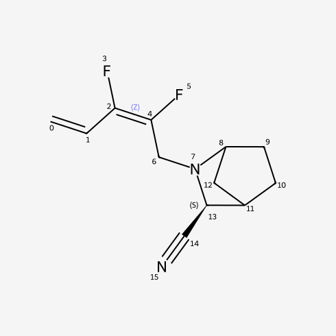 C=C/C(F)=C(/F)CN1C2CCC(C2)[C@H]1C#N